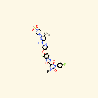 CC(C)n1cc(C(=O)Nc2ccc(Oc3ccnc(Nc4ccc(C(F)(F)F)c(N5CCN(S(C)(=O)=O)CC5)n4)c3)c(F)c2)c(=O)n(-c2ccc(F)cc2)c1=O